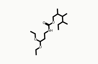 CCOC(CCNC(=O)OCC(C)C(C)C(C)CC)OCC